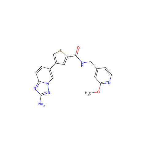 COc1cc(CNC(=O)c2cc(-c3ccc4nc(N)nn4c3)cs2)ccn1